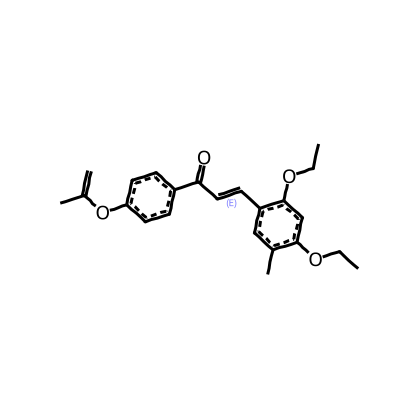 C=C(C)Oc1ccc(C(=O)/C=C/c2cc(C)c(OCC)cc2OCC)cc1